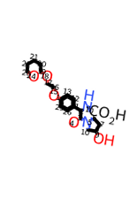 O=C(O)N[C@H](C(=O)N1CC[C@H](O)C1)c1ccc(OCCOC2CCCCO2)cc1